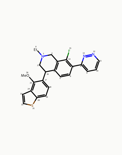 CCN1Cc2c(ccc(-c3cccnn3)c2F)C(c2ccc3sccc3c2OC)C1